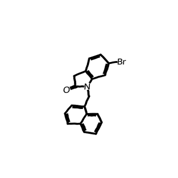 O=C1Cc2ccc(Br)cc2N1Cc1cccc2ccccc12